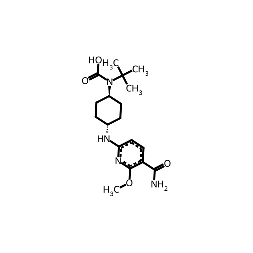 COc1nc(N[C@H]2CC[C@H](N(C(=O)O)C(C)(C)C)CC2)ccc1C(N)=O